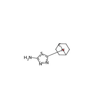 Nc1nnc(N2CC3CCC(CC3)C2)s1